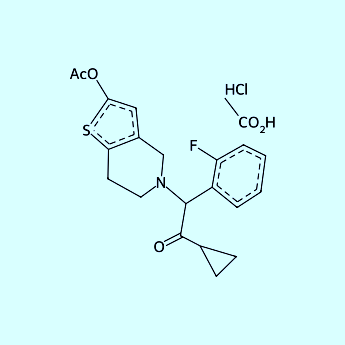 CC(=O)O.CC(=O)Oc1cc2c(s1)CCN(C(C(=O)C1CC1)c1ccccc1F)C2.Cl